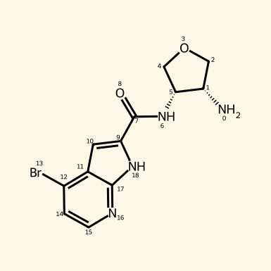 N[C@H]1COC[C@H]1NC(=O)c1cc2c(Br)ccnc2[nH]1